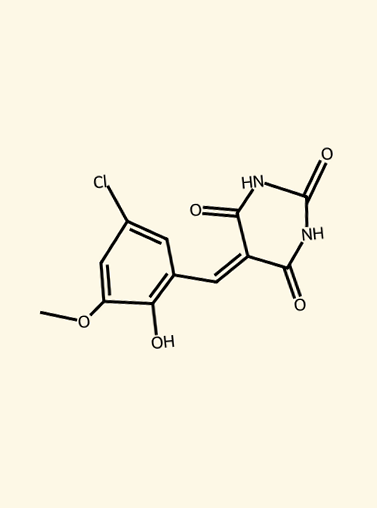 COc1cc(Cl)cc(C=C2C(=O)NC(=O)NC2=O)c1O